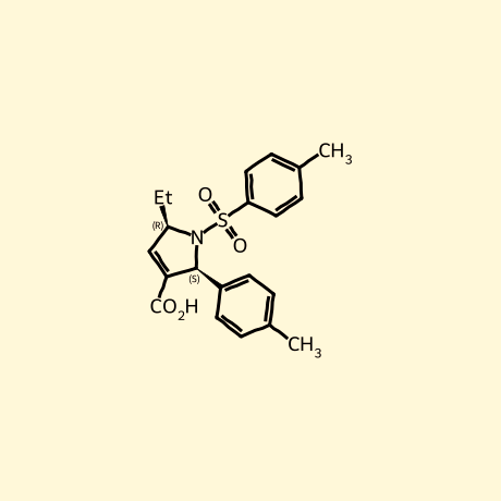 CC[C@@H]1C=C(C(=O)O)[C@H](c2ccc(C)cc2)N1S(=O)(=O)c1ccc(C)cc1